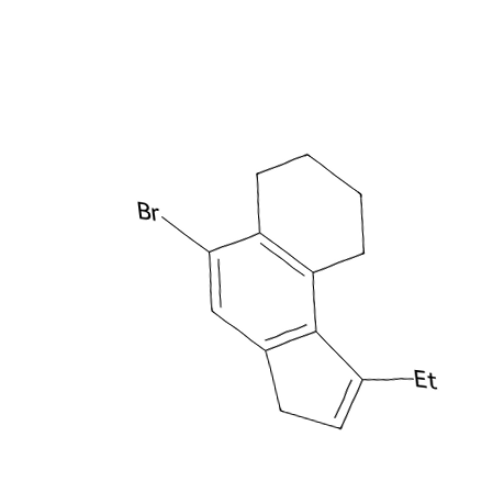 CCC1=CCc2cc(Br)c3c(c21)CCCC3